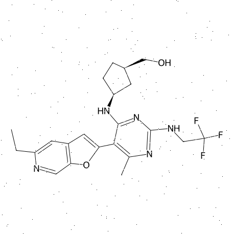 CCc1cc2cc(-c3c(C)nc(NCC(F)(F)F)nc3N[C@H]3CC[C@@H](CO)C3)oc2cn1